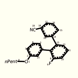 CCCCCOc1cccc(-c2c(F)cccc2-c2cccc(C#N)c2)c1